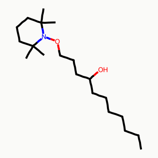 CCCCCCCC(O)CCCON1C(C)(C)CCCC1(C)C